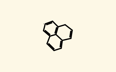 [c]1cc2c3c(cccc3c1)C=CC2